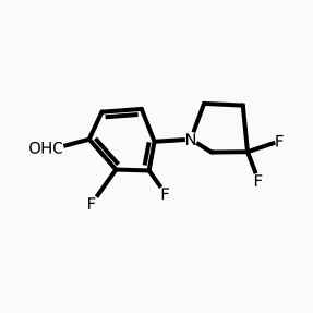 O=Cc1ccc(N2CCC(F)(F)C2)c(F)c1F